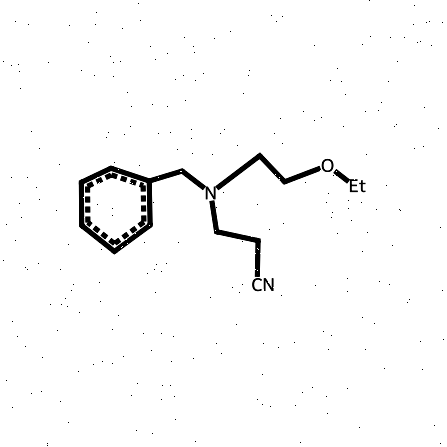 CCOCCN(CCC#N)Cc1ccccc1